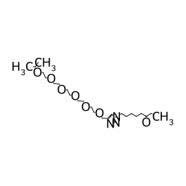 CCC(=O)CCCCCn1cc(COCCOCCOCCOCCOCCOC(C)C)nn1